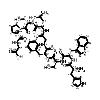 CC(C)C[C@H](NC(=O)CNC(=O)[C@H](Cc1ccccc1)NC(=O)[C@H](CO)NC(=O)[C@H](Cc1c[nH]c2ccccc12)NC(=O)[C@@H](N)Cc1c[nH]cn1)C(=O)N[C@@H](CO)C(=O)N1CCC[C@H]1C(=O)NCC(=O)O